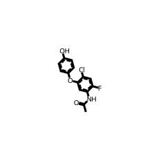 CC(=O)Nc1cc(Oc2ccc(O)cc2)c(Cl)cc1F